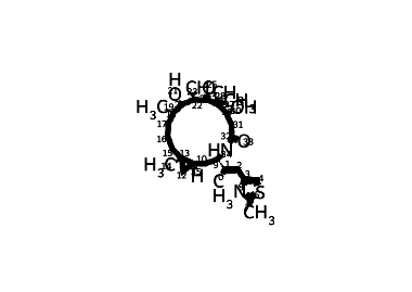 C/C(=C\c1csc(C)n1)[C@@H]1C[C@@H]2C[C@]2(C)CCC[C@H](C)[C@H](O)[C@@H](C)C(=O)C(C)(C)[C@@H](O)CC(=O)N1